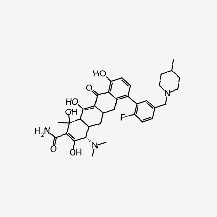 CC1CCN(Cc2ccc(F)c(-c3ccc(O)c4c3CC3CC5C(C(O)=C3C4=O)C(C)(O)C(C(N)=O)=C(O)[C@H]5N(C)C)c2)CC1